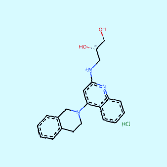 Cl.OC[C@@H](O)CNc1cc(N2CCc3ccccc3C2)c2ccccc2n1